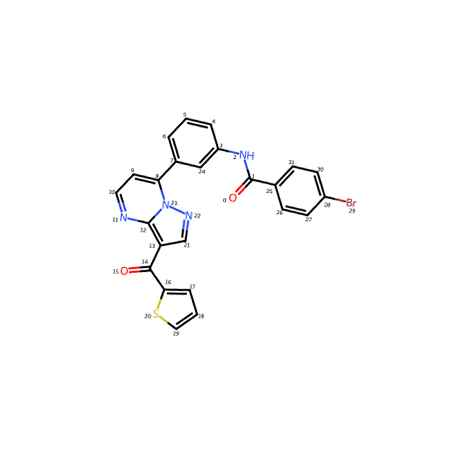 O=C(Nc1cccc(-c2ccnc3c(C(=O)c4cccs4)cnn23)c1)c1ccc(Br)cc1